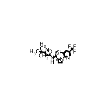 CC(C)(C)c1cc(NC(=O)[C@@H]2CCN2c2ncc(C(F)(F)F)cc2Cl)on1